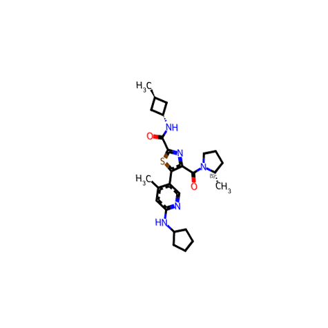 Cc1cc(NC2CCCC2)ncc1-c1sc(C(=O)N[C@H]2C[C@H](C)C2)nc1C(=O)N1CCC[C@@H]1C